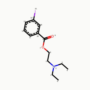 CCN(CC)CCOC(=O)c1cccc(I)c1